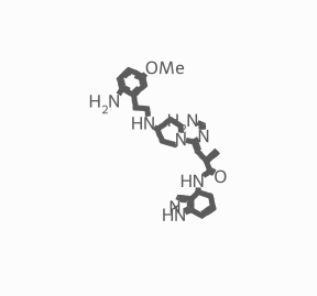 C=C(/C=C(\N=C/N)N1CCC(NCCc2cc(OC)ccc2N)CC1)C(=O)NC1CC=Cc2[nH]ncc21